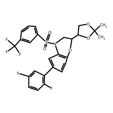 CC1(C)OCC(C2CN(S(=O)(=O)c3cccc(C(F)(F)F)c3)c3cc(-c4cc(F)ccc4F)ccc3O2)O1